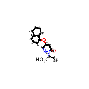 CC(C)C[C@H](C(=O)O)n1ncc(Oc2cccc3c2CCCC3)cc1=O